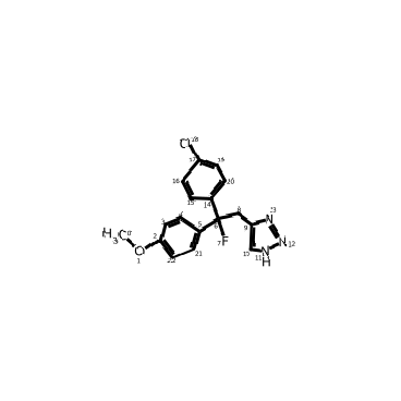 COc1ccc(C(F)(Cc2c[nH]nn2)c2ccc(Cl)cc2)cc1